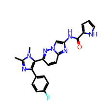 Cc1nc(-c2ccc(F)cc2)c(-c2ccc3nc(NC(=O)c4ccc[nH]4)cn3n2)n1C